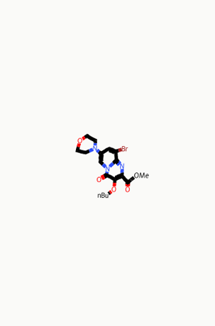 CCCCOc1c(C(=O)OC)nc2c(Br)cc(N3CCOCC3)cn2c1=O